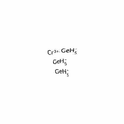 [Cr+3].[GeH5-].[GeH5-].[GeH5-]